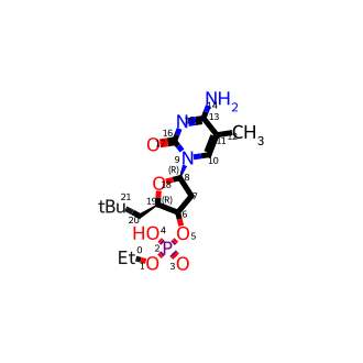 CCOP(=O)(O)OC1C[C@H](n2cc(C)c(N)nc2=O)O[C@@H]1CC(C)(C)C